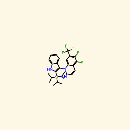 CC(C)[Si](c1[nH]c2ccccc2c1N1c2cc(C(F)(F)F)c(F)c(F)c2C=CC1N)(C(C)C)C(C)C